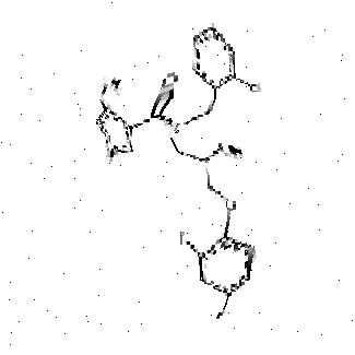 Cn1cncc1C(=O)N(Cc1ccccc1Cl)CC(O)COc1ccc(F)cc1F